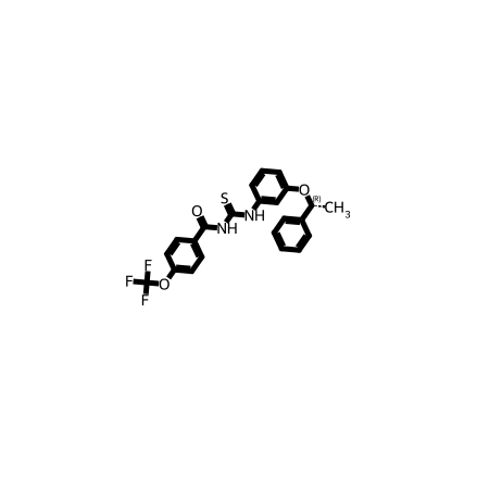 C[C@@H](Oc1cccc(NC(=S)NC(=O)c2ccc(OC(F)(F)F)cc2)c1)c1ccccc1